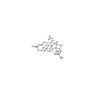 C[C@]12CC[C@H]3[C@H]([C@@H]1[C@H]1C[C@H]1[C@@]2(O)/C=C\C(=O)O)[C@@H](C1CC1)CC1=CC(=O)CC[C@@H]13